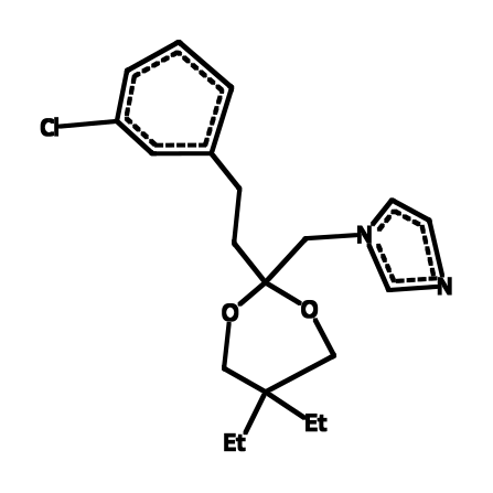 CCC1(CC)COC(CCc2cccc(Cl)c2)(Cn2ccnc2)OC1